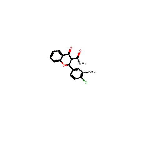 COC(=O)C1C(=O)c2ccccc2OC1c1ccc(Cl)c(OC)c1